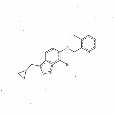 Cc1cccnc1COc1ccc2c(nnn2CC2CC2)c1Br